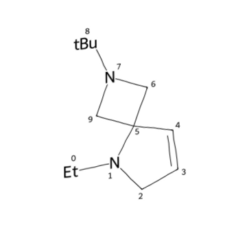 CCN1CC=CC12CN(C(C)(C)C)C2